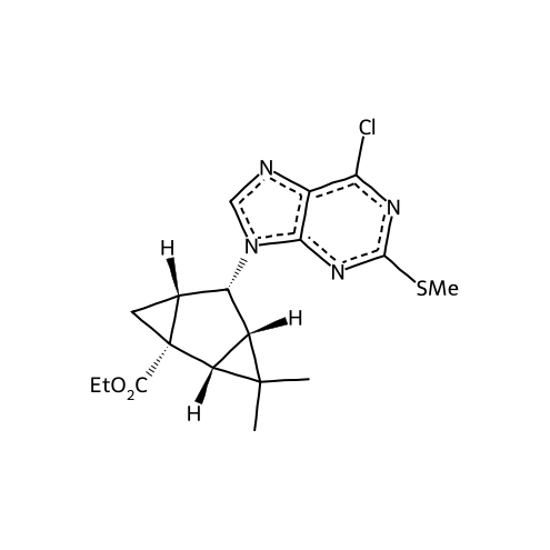 CCOC(=O)[C@]12C[C@@H]1[C@H](n1cnc3c(Cl)nc(SC)nc31)[C@H]1[C@@H]2C1(C)C